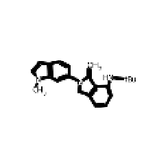 C=C1c2c(cccc2NC(C)(C)C)CN1c1ccc2ccn(C)c2c1